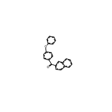 O=C(c1ccc(Oc2ccccc2)cc1)c1ccc2ccccc2c1